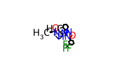 CC#CC(=O)N1CCCC[C@@H](n2c(NC(=O)c3cccc(C(F)(F)F)c3)nc3cccc(C)c32)C1